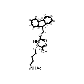 CC(=O)NCCCCC[C@H](NC(=O)OCC1c2ccccc2-c2ccccc21)C(O)=S